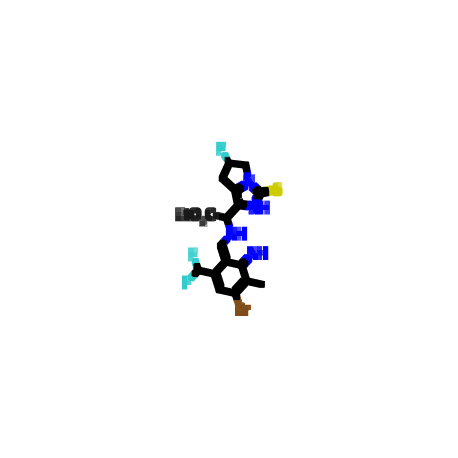 CCOC(=O)C(N/C=C1\C(=N)C(C)=C(Br)C=C1C(F)F)c1[nH]c(=S)n2c1C[C@@H](F)C2